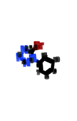 Brc1nnnn1-c1ccccc1